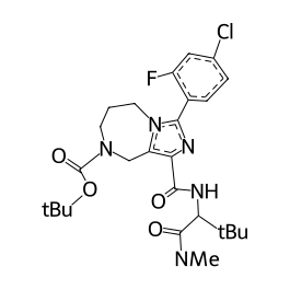 CNC(=O)C(NC(=O)c1nc(-c2ccc(Cl)cc2F)n2c1CN(C(=O)OC(C)(C)C)CCC2)C(C)(C)C